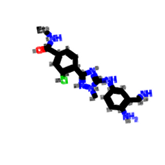 CCNC(=O)c1ccc(-c2nc(Nc3ccc(N)c(C=N)c3)n(C)n2)c(Cl)c1